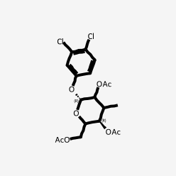 CC(=O)OCC1O[C@H](Oc2ccc(Cl)c(Cl)c2)C(OC(C)=O)C(C)[C@H]1OC(C)=O